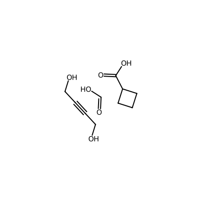 O=C(O)C1CCC1.O=CO.OCC#CCO